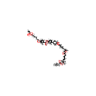 C=CC(=O)OCCCCCCOc1ccc(C(=O)Oc2ccc(C3CCC(OCCCCCCC(C)(C)OC(=O)CCCCCC(C)(C)OC(=O)CCCC)CC3)cc2)cc1